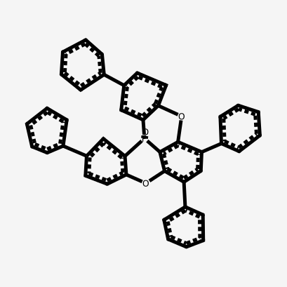 O=P12c3cc(-c4ccccc4)ccc3Oc3c(-c4ccccc4)cc(-c4ccccc4)c(c31)Oc1ccc(-c3ccccc3)cc12